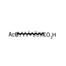 CC(=O)OCCCCCCC=CCCCCCCCC(=O)O